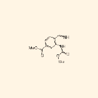 COC(=O)c1ccc(C=N)c(NC(=O)OC(C)(C)C)c1